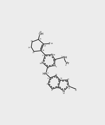 CC(C)Nc1nc(Nc2ccc3nn(C)cc3c2)nc(C2=C(F)C(O)CCC2)n1